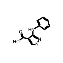 O=C(O)c1c[nH]nc1Nc1ccccc1